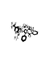 COc1ncc(C(F)(F)F)cc1CN[C@H]1[C@H](C(C)(C)C)[C@@H](C(=O)O)N(C(=O)[C@@H]2CCCCO2)[C@H]1c1ccccc1